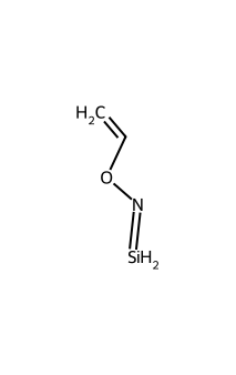 C=CON=[SiH2]